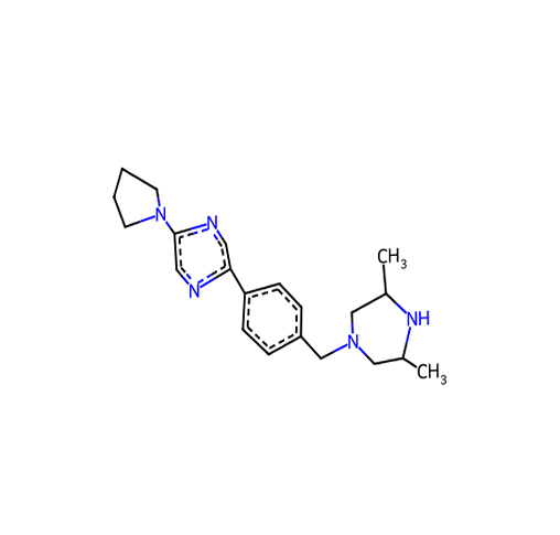 CC1CN(Cc2ccc(-c3cnc(N4CCCC4)cn3)cc2)CC(C)N1